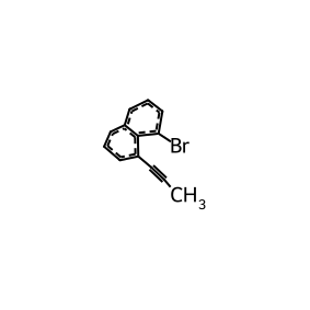 CC#Cc1cccc2cccc(Br)c12